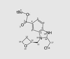 CC(C)(C)OC(=O)c1ccc2c(c1)N(C[C@@H]1CCO1)C(CCl)N2